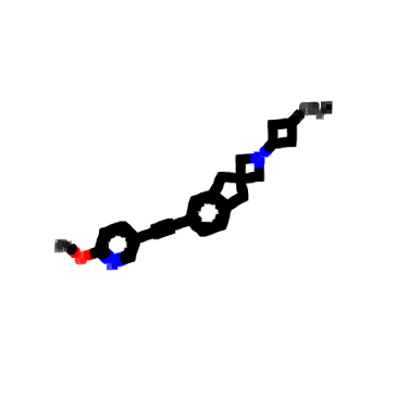 CC(C)Oc1ccc(C#Cc2ccc3c(c2)CC2(C3)CN(C3CC(C(=O)O)C3)C2)cn1